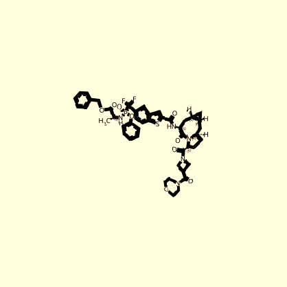 C[C@H](NP(=O)(Oc1ccccc1)C(F)(F)c1ccc2sc(C(=O)N[C@H]3C[C@@H]4C[C@@H]4C[C@H]4CC[C@@H](C(=O)N5CC(C(=O)N6CCOCC6)C5)N4C3=O)cc2c1)C(=O)OCc1ccccc1